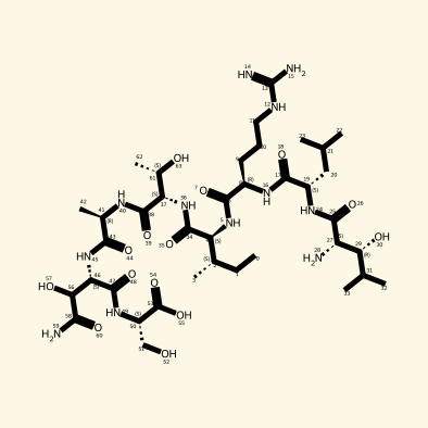 CC[C@H](C)[C@H](NC(=O)[C@@H](CCCNC(=N)N)NC(=O)[C@H](CC(C)C)NC(=O)[C@@H](N)[C@H](O)C(C)C)C(=O)N[C@H](C(=O)N[C@H](C)C(=O)N[C@H](C(=O)N[C@@H](CO)C(=O)O)C(O)C(N)=O)[C@H](C)O